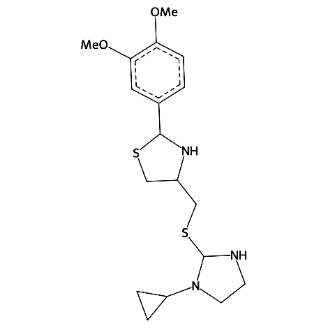 COc1ccc(C2NC(CSC3NCCN3C3CC3)CS2)cc1OC